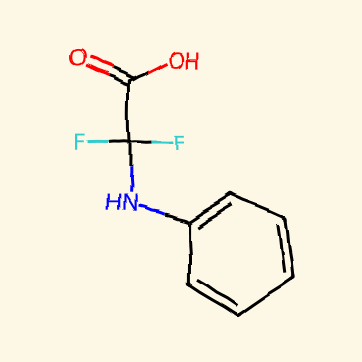 O=C(O)C(F)(F)Nc1ccccc1